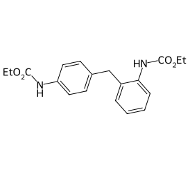 CCOC(=O)Nc1ccc(Cc2ccccc2NC(=O)OCC)cc1